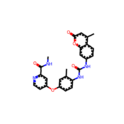 CNC(=O)c1cc(Oc2ccc(NC(=O)Nc3ccc4c(C)cc(=O)oc4c3)c(C)c2)ccn1